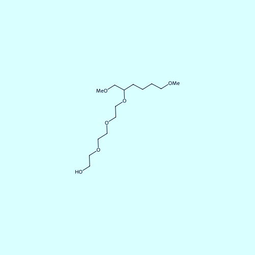 COCCCCC(COC)OCCOCCOCCO